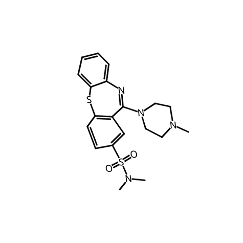 CN1CCN(C2=Nc3ccccc3Sc3ccc(S(=O)(=O)N(C)C)cc32)CC1